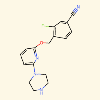 N#Cc1ccc(COc2cccc(N3CCNCC3)n2)c(F)c1